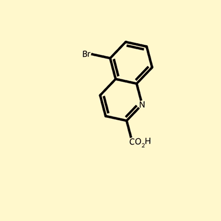 O=C(O)c1ccc2c(Br)cccc2n1